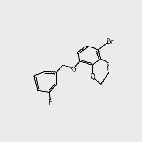 Fc1cccc(COc2ccc(Br)c3c2OCCC3)c1